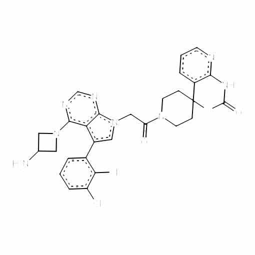 NC1CN(c2ncnc3c2c(-c2cccc(Cl)c2Cl)cn3CC(=O)N2CCC3(CC2)OC(=O)Nc2ncccc23)C1